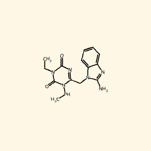 CCn1c(=O)nc(Cn2c(N)nc3ccccc32)n(PC)c1=O